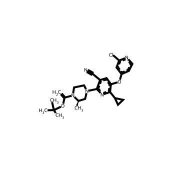 C=C(OC(C)(C)C)N1CCN(c2nc(C3CC3)c(Oc3ccnc(Cl)c3)cc2C#N)C[C@H]1C